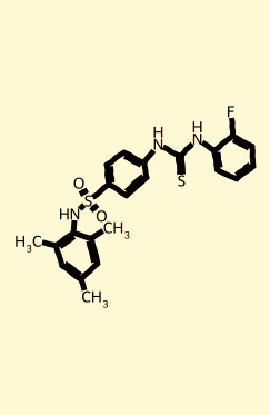 Cc1cc(C)c(NS(=O)(=O)c2ccc(NC(=S)Nc3ccccc3F)cc2)c(C)c1